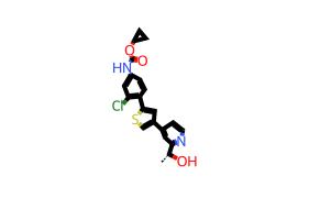 C[C@@H](O)c1cc(-c2csc(-c3ccc(NC(=O)OC4CC4)cc3Cl)c2)ccn1